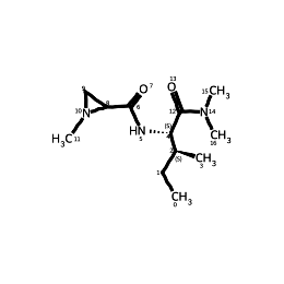 CC[C@H](C)[C@H](NC(=O)C1CN1C)C(=O)N(C)C